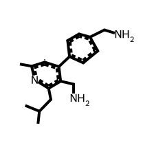 Cc1[c]c(-c2ccc(CN)cc2)c(CN)c(CC(C)C)n1